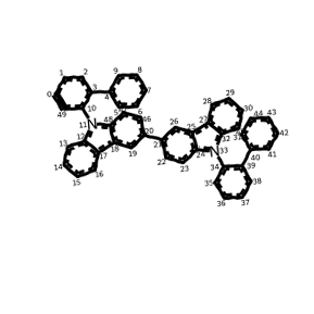 c1ccc(-c2ccccc2)c(-n2c3ccccc3c3cc(-c4ccc5c(c4)c4ccccc4n5-c4ccccc4-c4ccccc4)ccc32)c#1